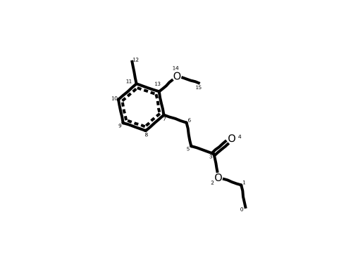 CCOC(=O)CCc1cccc(C)c1OC